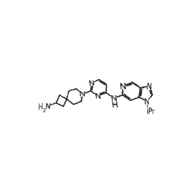 CC(C)n1cnc2cnc(Nc3ccnc(N4CCC5(CC4)CC(N)C5)n3)cc21